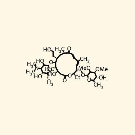 CC[C@H]1OC(=O)C[C@@H](O)[C@H](C)[C@@H](O[C@@H]2OC(C)[C@@H](O)C(N(C)C)C2O)[C@@H](CCO)C[C@@H](C)C(=O)/C=C/C(C)=C/[C@@H]1CO[C@@H]1OC(C)[C@@H](O)[C@H](OC)C1OC